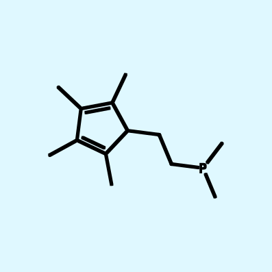 CC1=C(C)C(CCP(C)C)C(C)=C1C